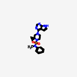 CN(c1ccccc1)S(=O)(=O)N1CCN(c2ncnc3[nH]ccc23)CC12CC2